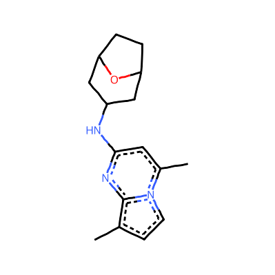 Cc1ccn2c(C)cc(NC3CC4CCC(C3)O4)nc12